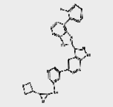 Fc1ccccc1-c1cccc2[nH]c(-c3n[nH]c4ncc(-c5cncc(NC6OC6C6CCC6)c5)cc34)nc12